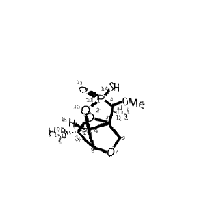 B[C@@H]1OC2(COC)COC1[C@@H]2OP(C)(=O)S